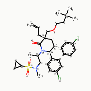 C=CC[C@@]1(COCC[Si](C)(C)C)C[C@H](c2cccc(Cl)c2)[C@@H](c2ccc(Cl)cc2)N(C(CC)CN(C)S(=O)(=O)C2CC2)C1=O